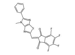 Cn1c(-c2ccccc2)nc2sc(C=C3C(=O)c4c(F)c(F)c(F)c(F)c4C3=O)nc21